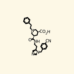 N#Cc1ccc(Cn2cncc2CCNC(=O)[C@@H]2C[C@H](C(=O)O)CN(CCc3ccccc3)C2)cc1